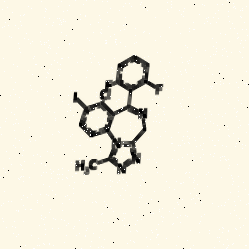 Cc1nnc2n1-c1ccc(I)c(Cl)c1C(c1c(F)cccc1F)=NC2